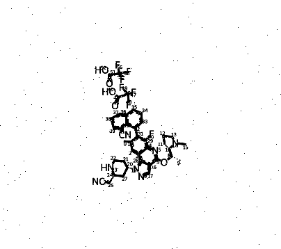 Cc1cc2c(nc(O[C@@H](C)[C@@H]3CCCN3C)c3cnn([C@H]4CCN[C@H](CC#N)C4)c32)c(F)c1-c1cccc2cccc(C#N)c12.O=C(O)C(F)(F)F.O=C(O)C(F)(F)F